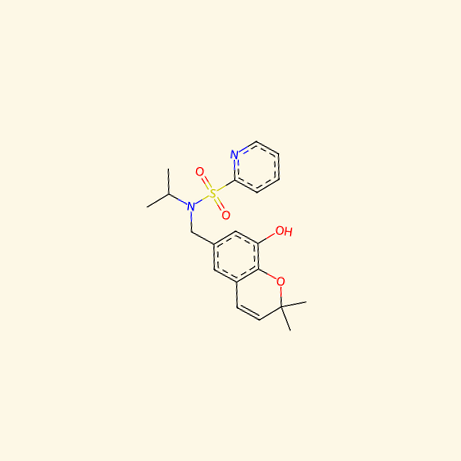 CC(C)N(Cc1cc(O)c2c(c1)C=CC(C)(C)O2)S(=O)(=O)c1ccccn1